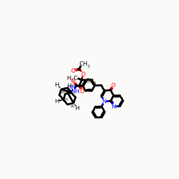 CC(=O)OC(C)(C)C(=O)N[C@]12C[C@@H]3C[C@H](C1)[C@@H](NC(=O)c1ccc(Cc4cn(-c5ccccc5)c5ncccc5c4=O)cc1)[C@@H](C3)C2